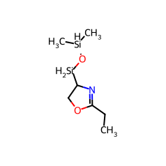 CCC1=NC([SiH2]O[SiH](C)C)CO1